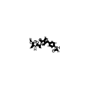 C=C(NC(=O)C(=C)N1Cc2c(csc2-c2ccc(NC(C)=O)cc2)C1=O)C(=O)OC